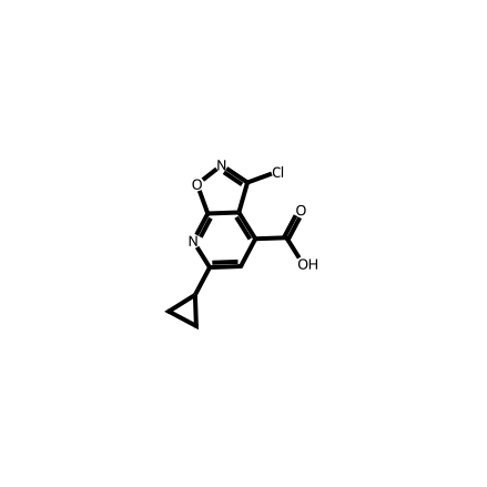 O=C(O)c1cc(C2CC2)nc2onc(Cl)c12